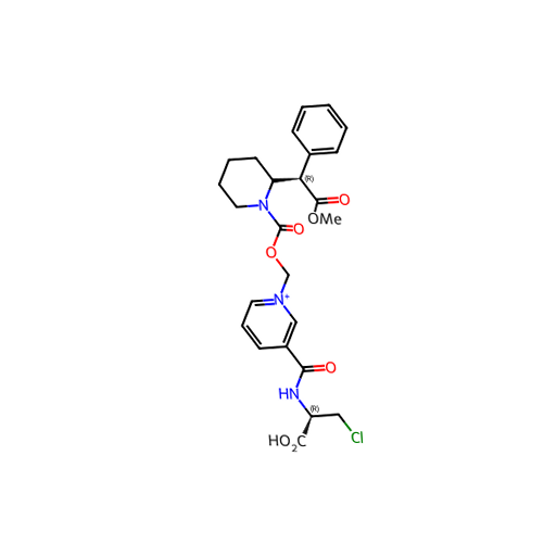 COC(=O)[C@H](c1ccccc1)C1CCCCN1C(=O)OC[n+]1cccc(C(=O)N[C@@H](CCl)C(=O)O)c1